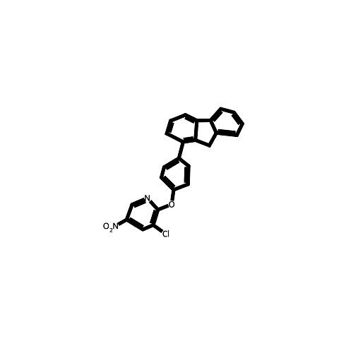 O=[N+]([O-])c1cnc(Oc2ccc(-c3cccc4c3Cc3ccccc3-4)cc2)c(Cl)c1